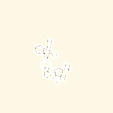 CN(C)c1cccc(C2CC(n3c(=O)[nH]c4ccccc43)CCN2C(=O)O)c1